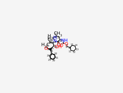 CC(C)CC(NC(=O)OCC1CCCCC1)C(=O)N[C@@H](C(C)C)[C@@H](O)c1c(-c2ccccc2)c1=O